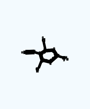 N#Cc1c(Cl)cc(N)cc1Cl